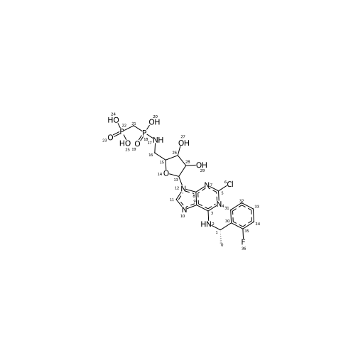 C[C@H](Nc1nc(Cl)nc2c1ncn2C1OC(CNP(=O)(O)CP(=O)(O)O)C(O)C1O)c1ccccc1F